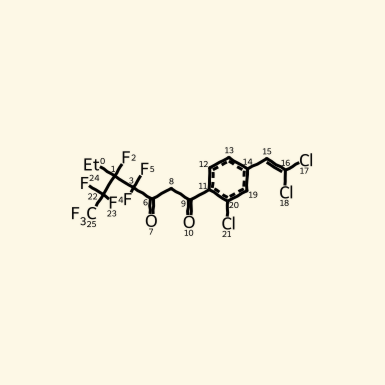 CCC(F)(C(F)(F)C(=O)CC(=O)c1ccc(C=C(Cl)Cl)cc1Cl)C(F)(F)C(F)(F)F